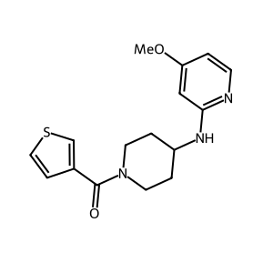 COc1ccnc(NC2CCN(C(=O)c3ccsc3)CC2)c1